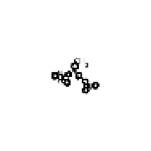 Cc1ccc(N(c2ccc(-c3ccc4c(c3)c3ccccc3n4-c3ccccc3)cc2)c2ccc(-c3nc4ccccc4nc3-c3ccccc3)cc2)cc1